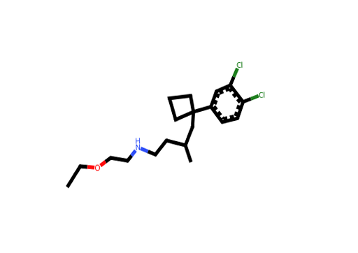 CCOCCNCCC(C)CC1(c2ccc(Cl)c(Cl)c2)CCC1